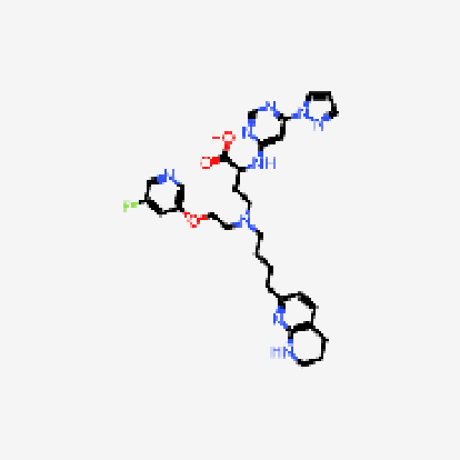 O=C(O)C(CCN(CCCCc1ccc2c(n1)NCCC2)CCOc1cncc(F)c1)Nc1cc(-n2cccn2)ncn1